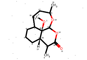 CO[C@]12C3CCC[C@H]1C(C)C(=O)OC2OC(C)CC3